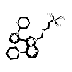 C[Si](C)(C)CCOCn1cc(-c2ccnn2C2CCCCO2)c2c(N3CCCCC3)ccnc21